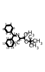 CC(N=C(c1ccccc1)c1ccccc1)C(=O)OC(C)(C)C